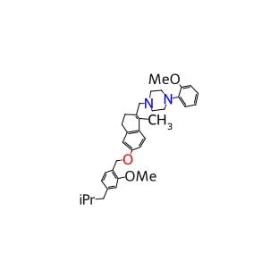 COc1cc(CC(C)C)ccc1COc1ccc2c(c1)CCC(CN1CCN(c3ccccc3OC)CC1)=C2C